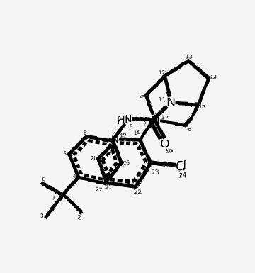 CC(C)(C)c1ccc(NC(=O)N2C3CCC2CN(c2ncccc2Cl)C3)cc1